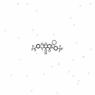 O=c1oc2cc3n(c(=O)c2c(O)c1Sc1cccc(C(F)(F)F)c1)-c1ccc(C(F)(F)F)cc1C31CCCCC1